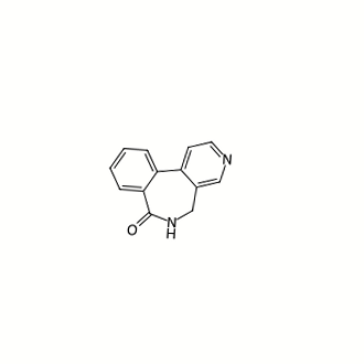 O=C1NCc2cnccc2-c2ccccc21